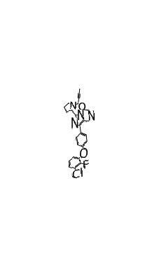 CC#CC(=O)N1CCCC1c1nc(-c2ccc(Oc3cccc(Cl)c3F)cc2)c2cnccn12